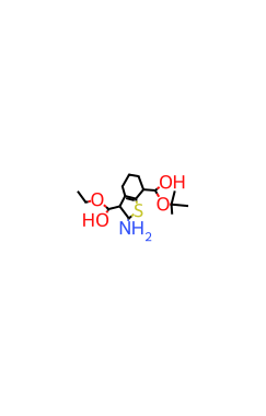 CCOC(O)C1C2=C(SC1N)C(C(O)OC(C)(C)C)CCC2